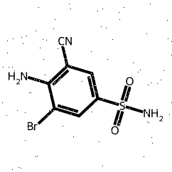 N#Cc1cc(S(N)(=O)=O)cc(Br)c1N